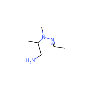 C/C=N/N(C)C(C)CN